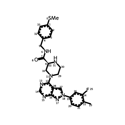 CSc1ccc(CNC(=O)[C@@H]2CN(c3ncnc4nn(-c5ccc(C)c(F)c5)cc34)CCN2)cc1